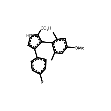 COc1cc(C)c(-c2c(-c3ccc(F)cc3)c[nH]c2C(=O)O)c(C)c1